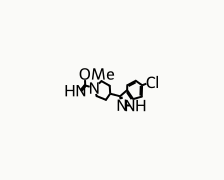 COC(=N)N1CCC(c2n[nH]c3cc(Cl)ccc23)CC1